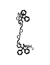 C=C(N)C(c1ccccc1)(c1ccccc1)C1CCN(CCOCCOCCN2CCC(C(C(N)=O)(c3ccccc3)c3ccccc3)C2)C1